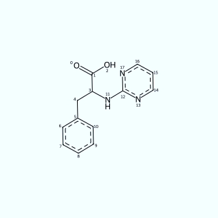 O=C(O)C(Cc1ccccc1)Nc1ncccn1